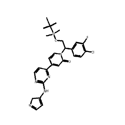 CC(C)(C)[Si](C)(C)OCC(c1ccc(Cl)c(F)c1)n1ccc(-c2ccnc(NC3=CC=NC3)n2)cc1=O